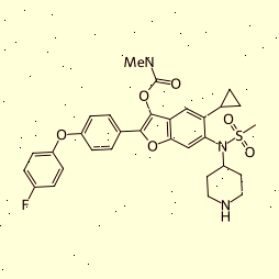 CNC(=O)Oc1c(-c2ccc(Oc3ccc(F)cc3)cc2)oc2cc(N(C3CCNCC3)S(C)(=O)=O)c(C3CC3)cc12